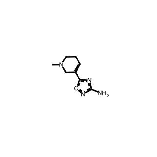 CN1CCC=C(c2nc(N)no2)C1